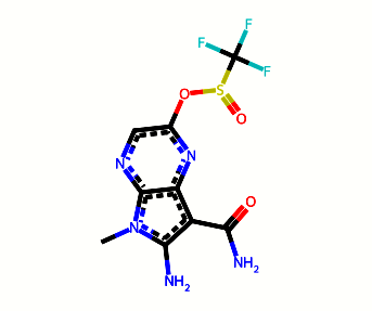 Cn1c(N)c(C(N)=O)c2nc(OS(=O)C(F)(F)F)cnc21